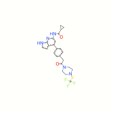 O=C(Nc1cc(-c2ccc(CC(=O)N3CCN(SC(F)(F)F)CC3)cc2)c2cc[nH]c2n1)C1CC1